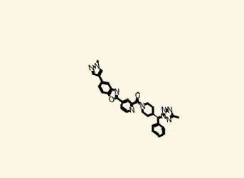 Cc1nnn([C@@H](c2ccccc2)C2CCN(C(=O)c3cc(-c4nc5cc(-c6cnn(C)c6)ccc5o4)ccn3)CC2)n1